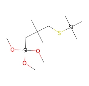 CO[Si](CC(C)(C)CS[Si](C)(C)C)(OC)OC